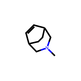 CN1CC2C=CC(CC2)C1